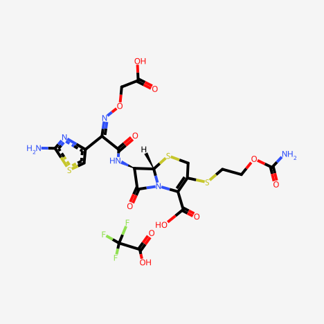 NC(=O)OCCSC1=C(C(=O)O)N2C(=O)[C@@H](NC(=O)/C(=N\OCC(=O)O)c3csc(N)n3)[C@@H]2SC1.O=C(O)C(F)(F)F